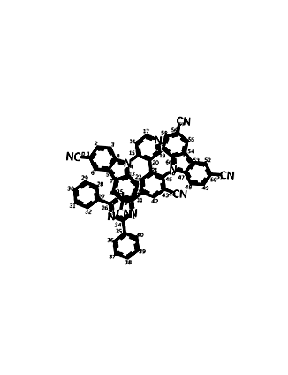 N#Cc1ccc2c(c1)c1cc(C#N)ccc1n2-c1ccncc1-c1cc(-c2nc(-c3ccccc3)nc(-c3ccccc3)n2)cc(C#N)c1-n1c2ccc(C#N)cc2c2cc(C#N)ccc21